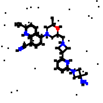 Bc1ccc2c(N3C[C@H](CN4CC(c5cccc(N6CC(C)(N)C6)n5)C4)O[C@H](C)C3)ccc(C#N)c2n1